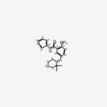 CC1(C)COCCN1Cc1ccc(N)c(C(=O)Nc2cccnc2)c1